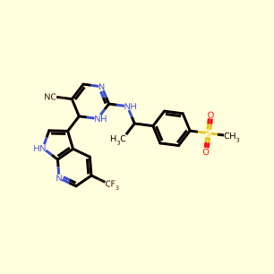 CC(NC1=NC=C(C#N)C(c2c[nH]c3ncc(C(F)(F)F)cc23)N1)c1ccc(S(C)(=O)=O)cc1